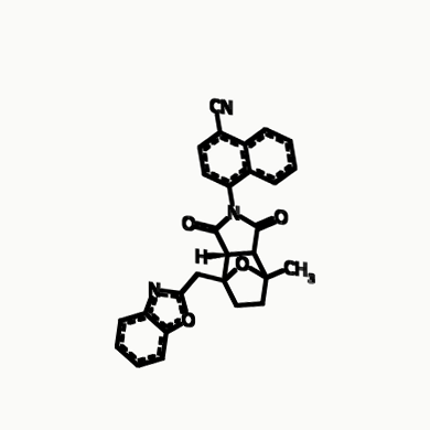 CC12CCC(Cc3nc4ccccc4o3)(O1)[C@@H]1C(=O)N(c3ccc(C#N)c4ccccc34)C(=O)C12